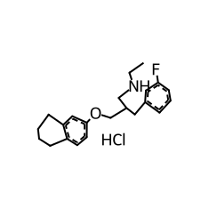 CCNCC(COc1ccc2c(c1)CCCC2)Cc1cccc(F)c1.Cl